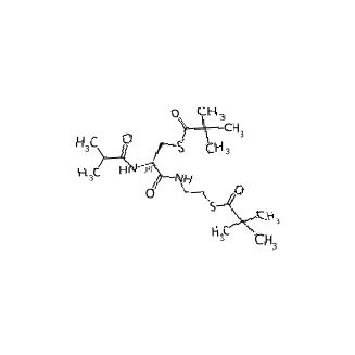 CC(C)C(=O)N[C@@H](CSC(=O)C(C)(C)C)C(=O)NCCSC(=O)C(C)(C)C